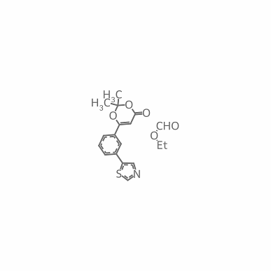 CC1(C)OC(=O)C=C(c2cccc(-c3cncs3)c2)O1.CCOC=O